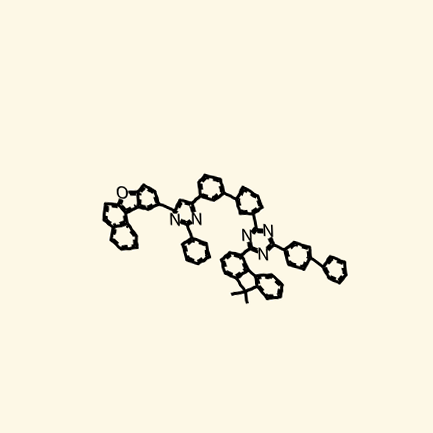 CC1(C)c2ccccc2-c2c(-c3nc(-c4ccc(-c5ccccc5)cc4)nc(-c4cccc(-c5cccc(-c6cc(-c7ccc8oc9ccc%10ccccc%10c9c8c7)nc(-c7ccccc7)n6)c5)c4)n3)cccc21